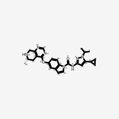 CC(C)n1nc(NC(=O)n2ccc3cc(Oc4ncnc5c4C[C@H](C)NC5)ccc32)cc1C1CC1